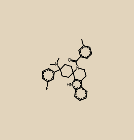 Cc1cccc(C(=O)N2CCc3c([nH]c4ccccc34)C23CCC(c2cccc(F)c2)(N(C)C)CC3)c1